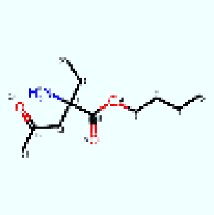 CCCCOC(=O)C(N)(CC)CC(C)=O